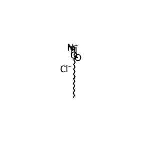 CCCCCCCCC=CCCCCCCCC(=O)OCn1cc[n+](C)c1.[Cl-]